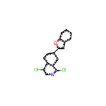 Clc1cnc(Cl)c2cc(-c3cc4ccccc4o3)ccc12